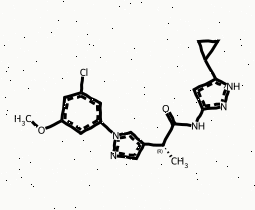 COc1cc(Cl)cc(-n2cc([C@@H](C)C(=O)Nc3cc(C4CC4)[nH]n3)cn2)c1